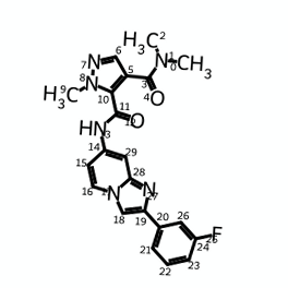 CN(C)C(=O)c1cnn(C)c1C(=O)Nc1ccn2cc(-c3cccc(F)c3)nc2c1